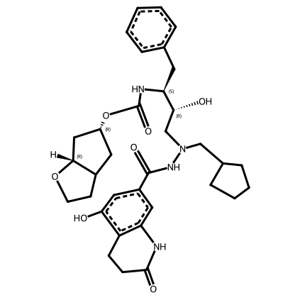 O=C1CCc2c(O)cc(C(=O)NN(CC3CCCC3)C[C@@H](O)[C@H](Cc3ccccc3)NC(=O)O[C@@H]3CC4CCO[C@@H]4C3)cc2N1